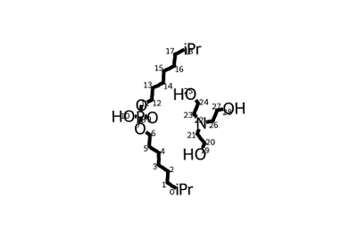 CC(C)CCCCCCOP(=O)(O)OCCCCCCC(C)C.OCCN(CCO)CCO